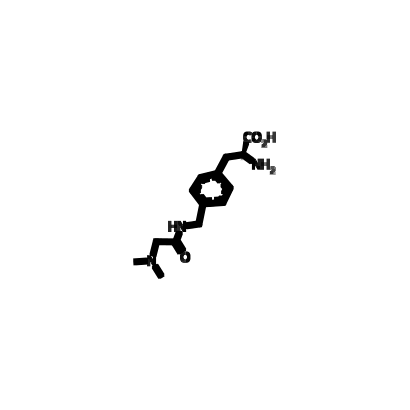 CN(C)CC(=O)NCc1ccc(C[C@H](N)C(=O)O)cc1